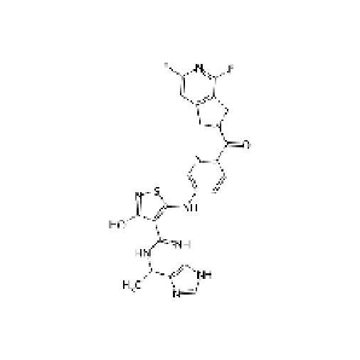 CC(NC(=N)c1c(O)nsc1Nc1ccc(C(=O)N2Cc3cc(F)nc(F)c3C2)nc1)c1c[nH]cn1